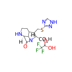 O=C(O)C(F)(F)F.O=C(O)C1=C(CSc2nc[nH]n2)C2CCN[C@@H]3C(=O)N1[C@H]23